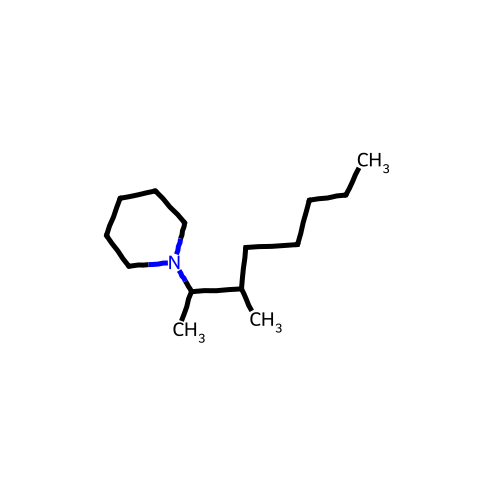 CCCCCC(C)C(C)N1CCCCC1